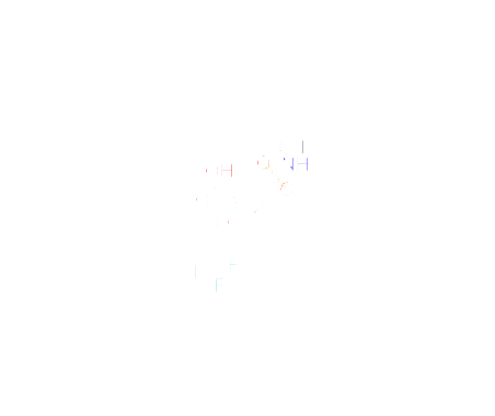 CNS(=O)(=O)c1ccc(OCCC(F)(F)F)c(C(=O)O)c1